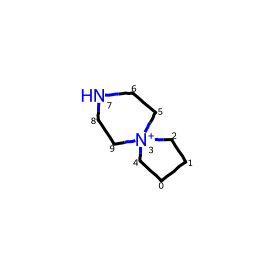 C1CC[N+]2(C1)CCNCC2